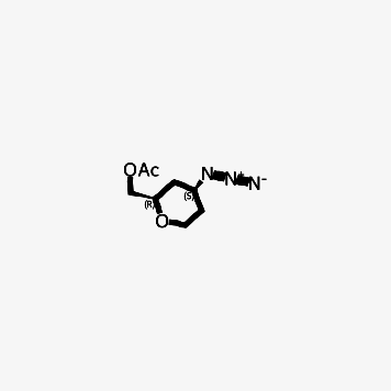 CC(=O)OC[C@H]1C[C@@H](N=[N+]=[N-])CCO1